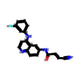 N#CC=CC(=O)Nc1ccc2nccc(Nc3cccc(F)c3)c2c1